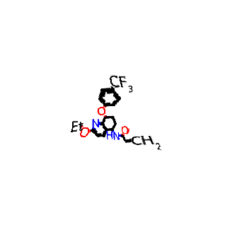 C=CC(=O)NC1CCC(Oc2ccc(C(F)(F)F)cc2)c2nc(OCC)ccc21